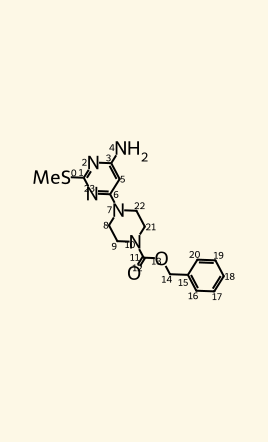 CSc1nc(N)cc(N2CCN(C(=O)OCc3ccccc3)CC2)n1